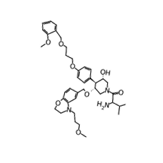 COCCCN1CCOc2ccc(CO[C@H]3CN(C(=O)C(N)C(C)C)C[C@@H](O)[C@@H]3c3ccc(OCCCOCc4ccccc4OC)cc3)cc21